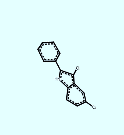 Clc1ccc2[nH]c(-c3cc[c]cc3)c(Cl)c2c1